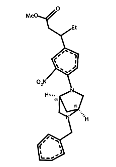 CCC(CC(=O)OC)c1ccc(N2C[C@@H]3C[C@H]2CN3Cc2ccccc2)c([N+](=O)[O-])c1